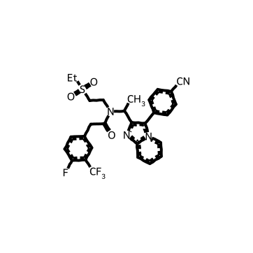 CCS(=O)(=O)CCN(C(=O)Cc1ccc(F)c(C(F)(F)F)c1)C(C)c1nc2ccccn2c1-c1ccc(C#N)cc1